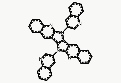 c1ccc2ncc(-n3c4nc5ccccc5cc4c4c3c3cc5ccccc5nc3n4-c3cnc4ccccc4c3)cc2c1